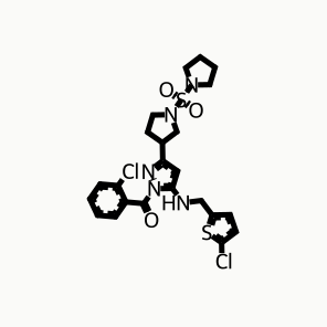 O=C(c1ccccc1Cl)n1nc(C2CCN(S(=O)(=O)N3CCCC3)C2)cc1NCc1ccc(Cl)s1